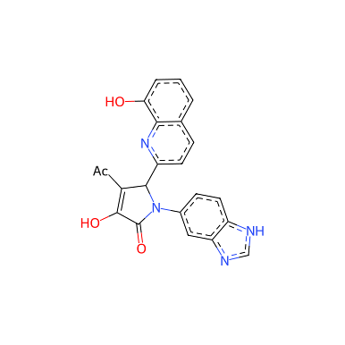 CC(=O)C1=C(O)C(=O)N(c2ccc3[nH]cnc3c2)C1c1ccc2cccc(O)c2n1